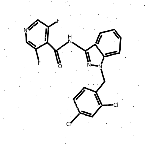 O=C(Nc1nn(Cc2ccc(Cl)cc2Cl)c2ccccc12)c1c(F)cncc1F